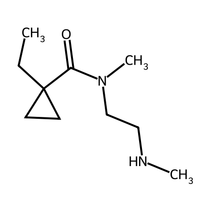 CCC1(C(=O)N(C)CCNC)CC1